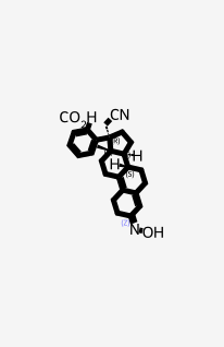 C[C@]12CCC3=C4CC/C(=N/O)C=C4CC[C@H]3[C@@H]1CC[C@]2(CC#N)c1ccccc1C(=O)O